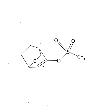 O=S(=O)(OC1=CC2CCC1CC2)C(F)(F)F